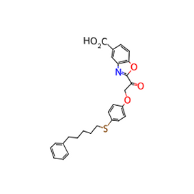 O=C(O)c1ccc2oc(C(=O)COc3ccc(SCCCCCc4ccccc4)cc3)nc2c1